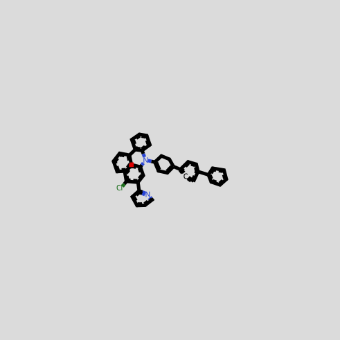 Clc1ccc(N(C2=CC=C(c3ccc(-c4ccccc4)cc3)CC2)c2ccccc2-c2ccccc2)cc1-c1ccccn1